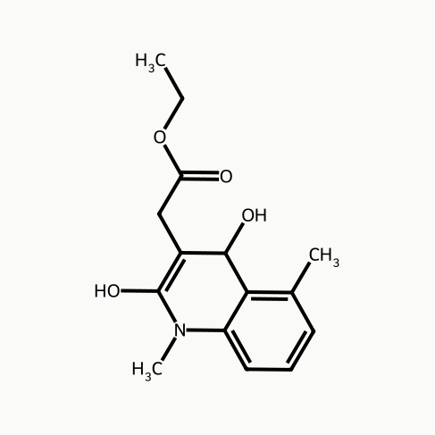 CCOC(=O)CC1=C(O)N(C)c2cccc(C)c2C1O